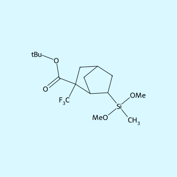 CO[Si](C)(OC)C1CC2CC1C(C(=O)OC(C)(C)C)(C(F)(F)F)C2